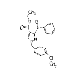 CCOC(=O)c1cn(Cc2ccc(OC)cc2)nc1C(=O)c1ccccc1